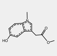 COC(=O)Cc1cn(C)c2ccc(O)cc12